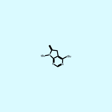 C=C1Cc2c(ncnc2C(C)(C)C)N1C(C)(C)C